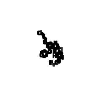 COc1cc(Nc2ncnc3cc(OCCCCl)cc(OC4CCOCC4)c23)c(Cl)cn1